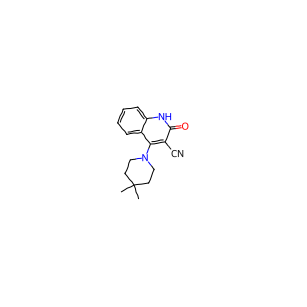 CC1(C)CCN(c2c(C#N)c(=O)[nH]c3ccccc23)CC1